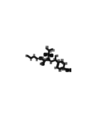 CCCCOC(=O)N(CC(C)c1ccc(O)cc1)S(=O)(=O)C(C)C